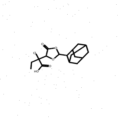 CCC(Cl)(C(=O)O)C1OC(C2C3CC4CC(C3)CC2C4)OC1=O